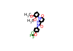 COc1cccc(-n2cc(C(=O)Nc3ccc(OC(F)(F)Cl)cc3)ccc2=O)c1OC